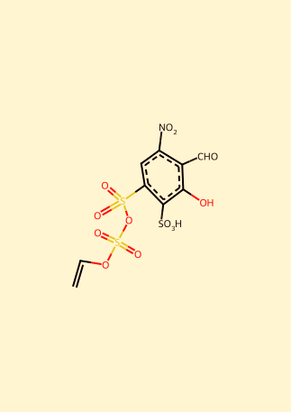 C=COS(=O)(=O)OS(=O)(=O)c1cc([N+](=O)[O-])c(C=O)c(O)c1S(=O)(=O)O